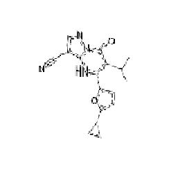 CC(C)c1c(-c2ccc(C3CC3)o2)[nH]c2c(C#N)cnn2c1=O